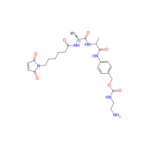 CC(NC(=O)[C@@H](NC(=O)CCCCCN1C(=O)C=CC1=O)C(C)C)C(=O)Nc1ccc(COC(=O)NCCN)cc1